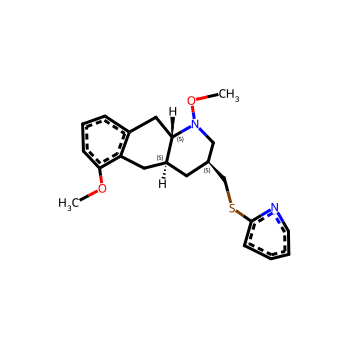 COc1cccc2c1C[C@@H]1C[C@H](CSc3ccccn3)CN(OC)[C@H]1C2